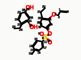 C=CCOc1cc(OS(=O)(=O)c2ccc(C)cc2)ccc1CC.CCc1ccc(O)cc1O